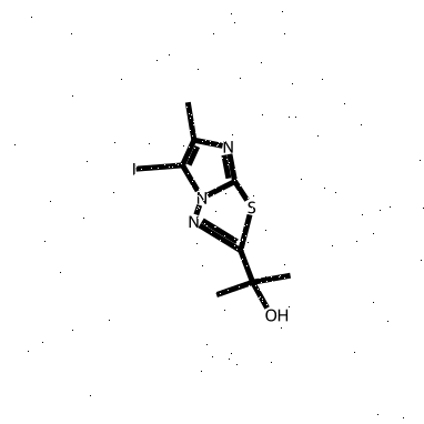 Cc1nc2sc(C(C)(C)O)nn2c1I